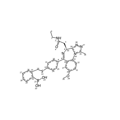 CCNC(=O)C[C@@H]1N=C(c2ccc(SCc3ccccc3B(O)O)cc2)c2cc(OC)ccc2-n2c(C)nnc21